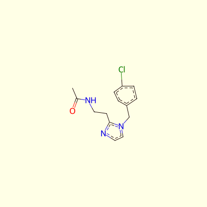 CC(=O)NCCc1nccn1Cc1ccc(Cl)cc1